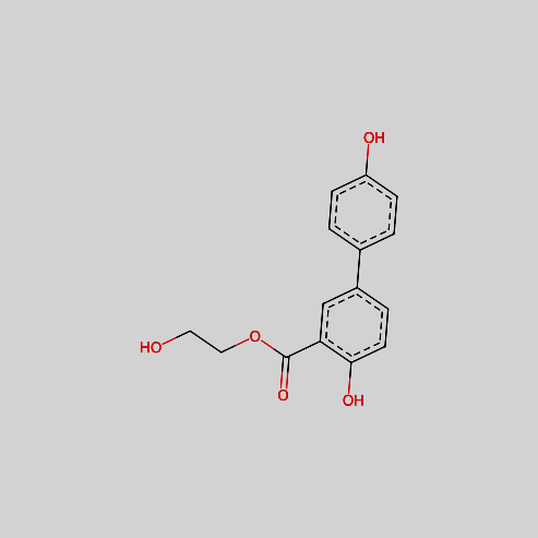 O=C(OCCO)c1cc(-c2ccc(O)cc2)ccc1O